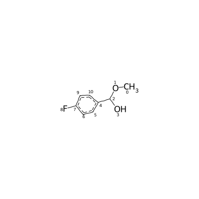 COC(O)c1ccc(F)cc1